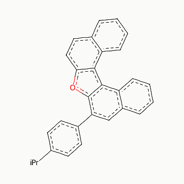 CC(C)c1ccc(-c2cc3ccccc3c3c2oc2ccc4ccccc4c23)cc1